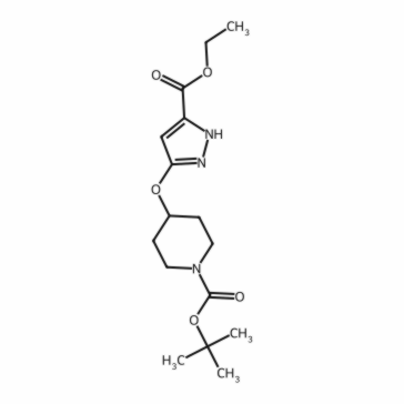 CCOC(=O)c1cc(OC2CCN(C(=O)OC(C)(C)C)CC2)n[nH]1